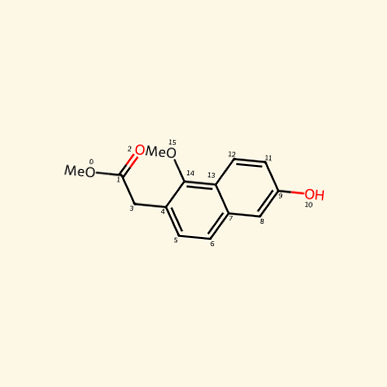 COC(=O)Cc1ccc2cc(O)ccc2c1OC